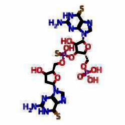 Nc1nc2c(ncn2[C@@H]2O[C@H](COP(=O)(O)O)C(OP(O)(=S)OC[C@H]3O[C@@H](n4cnc5c(=S)[nH]c(N)nc54)CC3O)C2O)c(=S)[nH]1